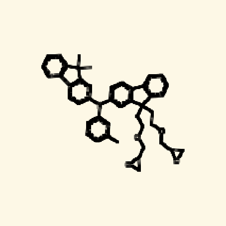 Cc1cccc(N(c2ccc3c(c2)C(C)(C)c2ccccc2-3)c2ccc3c(c2)C(CCOCC2CO2)(CCOCC2CO2)c2ccccc2-3)c1